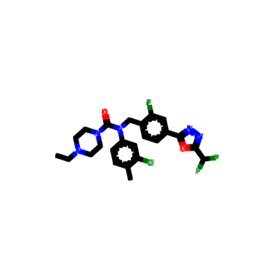 CCN1CCN(C(=O)N(Cc2ccc(-c3nnc(C(F)F)o3)cc2F)c2ccc(C)c(Cl)c2)CC1